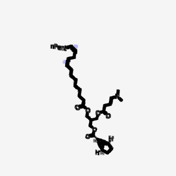 CCCCC/C=C\C/C=C\CCCCCCCC(=O)OCC(COC(=O)CCCN(C)C)COC(=O)[C@H]1C2C1[C@H]1CC[C@@H]2C1